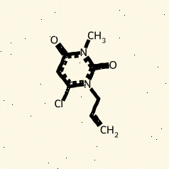 C=CCn1c(Cl)cc(=O)n(C)c1=O